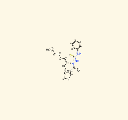 CCC(=NNC(=S)Nc1ccccc1)C1C2CCC(C2)C1C/C=C\CCCC(=O)O